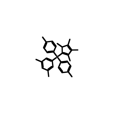 CC1=C(C)C(C)C([Si](c2ccc(C)cc2)(c2ccc(C)cc2)c2cc(C)cc(C)c2)=C1C